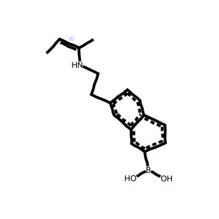 C/C=C(/C)NCCc1ccc2ccc(B(O)O)cc2c1